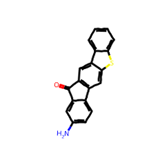 Nc1ccc2c(c1)C(=O)c1cc3c(cc1-2)sc1ccccc13